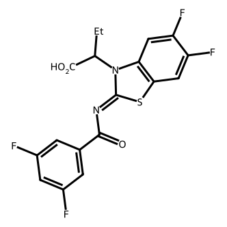 CCC(C(=O)O)n1c(=NC(=O)c2cc(F)cc(F)c2)sc2cc(F)c(F)cc21